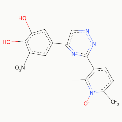 Cc1c(-c2nncc(-c3cc(O)c(O)c([N+](=O)[O-])c3)n2)ccc(C(F)(F)F)[n+]1[O-]